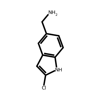 NCc1ccc2[nH]c(Cl)cc2c1